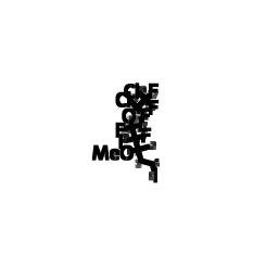 COC(C)(CCI)C(F)(F)C(F)(F)OC(F)(Cl)C(F)(F)Cl